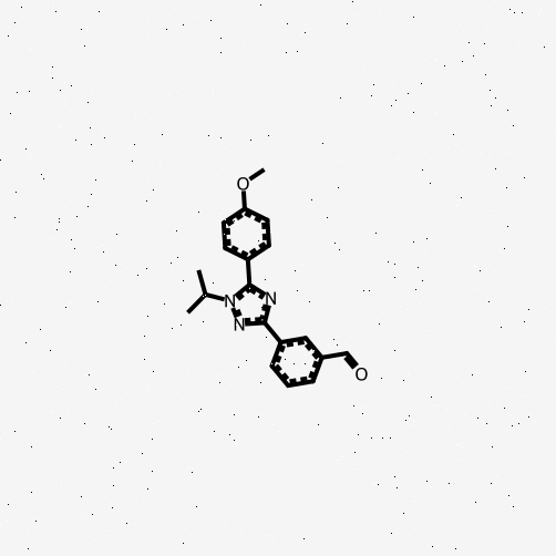 COc1ccc(-c2nc(-c3cccc(C=O)c3)nn2C(C)C)cc1